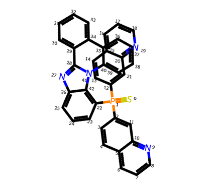 S=P(c1ccc2cccnc2c1)(c1ccc2cccnc2c1)c1cccc2nc3c4ccccc4c4ccccc4n3c12